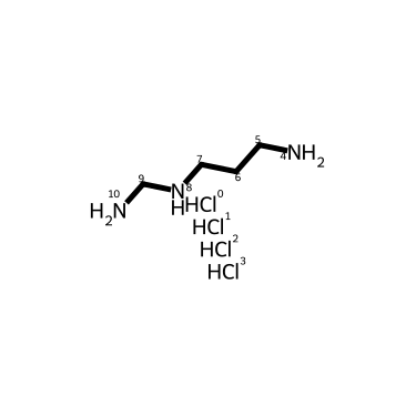 Cl.Cl.Cl.Cl.NCCCNCN